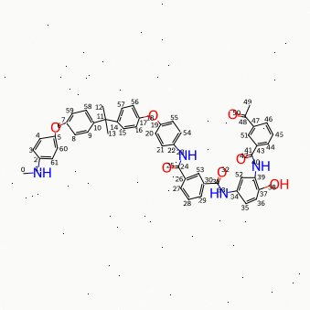 CNc1ccc(Oc2ccc(C(C)(C)c3ccc(Oc4ccc(NC(=O)c5cccc(C(=O)Nc6ccc(O)c(NC(=O)c7cccc(C(C)=O)c7)c6)c5)cc4)cc3)cc2)cc1